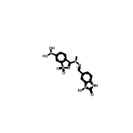 CCn1c(=O)[nH]c2ccc(/C=N/N(C)C3=NS(=O)(=O)c4cc(B(O)O)ccc43)cc21